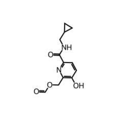 O=COCc1nc(C(=O)NCC2CC2)ccc1O